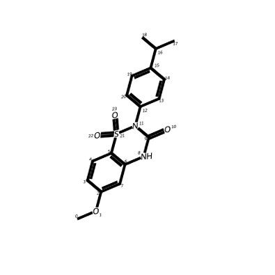 COc1ccc2c(c1)NC(=O)N(c1ccc(C(C)C)cc1)S2(=O)=O